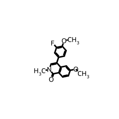 COc1ccc2c(=O)n(C)cc(-c3ccc(OC)c(F)c3)c2c1